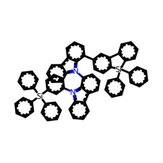 c1ccc([Si](c2ccccc2)(c2ccccc2)c2cccc(-n3c4ccccc4c4cccc(-n5c6ccccc6c6cccc(-c7ccc8c(c7)-c7ccccc7[Si]8(c7ccccc7)c7ccccc7)c65)c43)c2)cc1